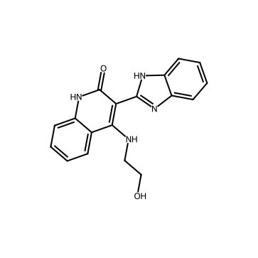 O=c1[nH]c2ccccc2c(NCCO)c1-c1nc2ccccc2[nH]1